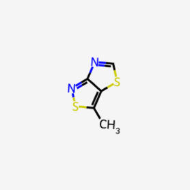 Cc1snc2ncsc12